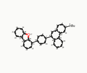 CCCCc1ccc2cc(-c3ccc(-c4cccc5c4oc4ccccc45)cc3)c3ccccc3c2c1